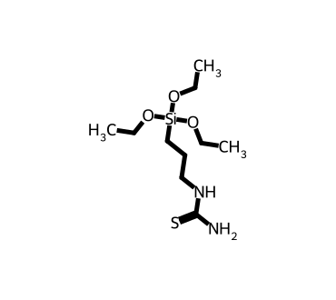 CCO[Si](CCCNC(N)=S)(OCC)OCC